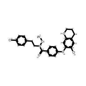 CC(C)ON(CCc1ccc(Cl)cc1)C(=O)c1ccc(Oc2cc3c(cc2Cl)CCCO3)cc1